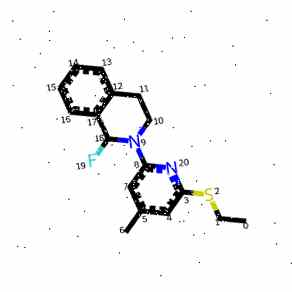 CCSc1cc(C)cc(N2CCc3ccccc3C2F)n1